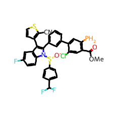 COC(=O)c1cc(Cl)c(-c2cccc(-c3c(-c4ccsc4C#N)c4cc(F)ccc4n3[S+]([O-])c3ccc(C(F)F)cc3)c2)cc1P